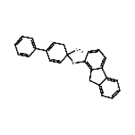 NC1(Oc2cccc3c2Cc2ccccc2-3)C=CC(c2ccccc2)=CC1